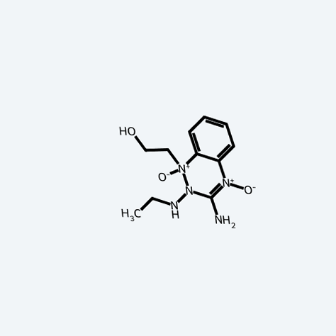 CCNN1C(N)=[N+]([O-])c2ccccc2[N+]1([O-])CCO